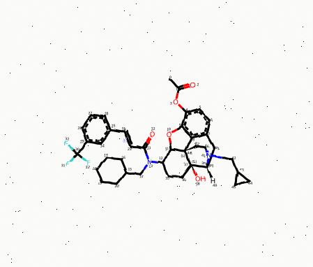 CC(=O)Oc1ccc2c3c1OC1C(N(CC4CCCCC4)C(=O)/C=C/c4cccc(C(F)(F)F)c4)CC[C@@]4(O)[C@@H](C2)N(CC2CC2)CC[C@]314